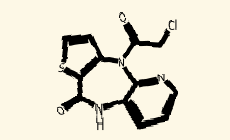 O=C1Nc2cccnc2N(C(=O)CCl)c2ccsc21